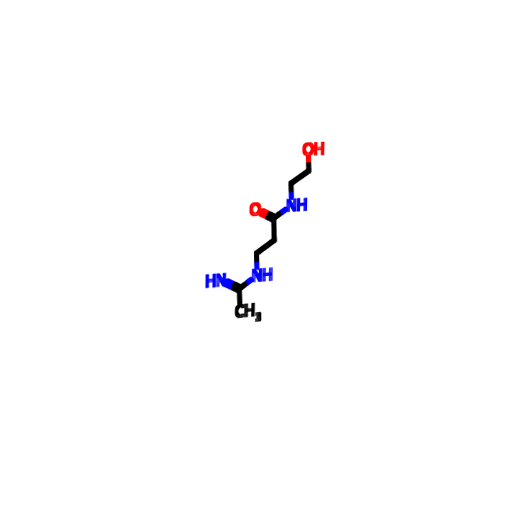 CC(=N)NCCC(=O)NCCO